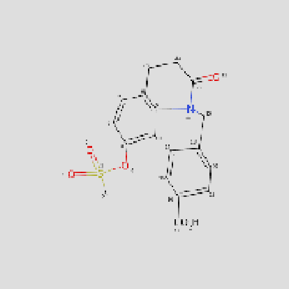 CS(=O)(=O)Oc1ccc2c(c1)N(Cc1ccc(C(=O)O)cc1)C(=O)CC2